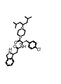 CC(C)CC(CC(C)C)N1CCN(C(=O)[C@@H](Cc2ccc(Cl)cc2)NC(=O)CC2NCc3ccccc32)CC1